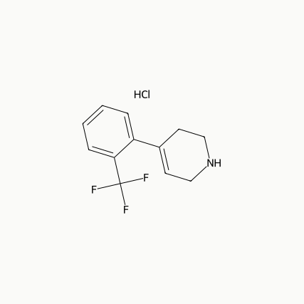 Cl.FC(F)(F)c1ccccc1C1=CCNCC1